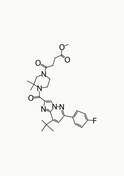 COC(=O)CCC(=O)N1CCN(C(=O)c2cn3nc(-c4ccc(F)cc4)cc(C(C)(C)C)c3n2)C(C)(C)C1